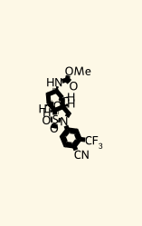 COC(=O)N[C@@H]1C[C@H]2O[C@@H]1[C@@H]1CN(c3ccc(C#N)c(C(F)(F)F)c3)S(=O)(=O)[C@@H]12